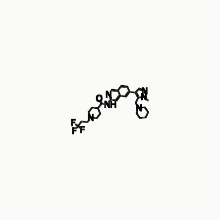 Cn1ncc(-c2ccc3cnc(NC(=O)C4CCN(CCC(F)(F)F)CC4)cc3c2)c1CN1CCCCC1